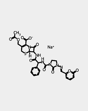 CC(=O)OCC1=C(C(=O)[O-])N2C(=O)C(NC(=O)C(NC(=O)N3CCN(N=Cc4cccc(=O)o4)C3=O)c3ccccc3)[C@@H]2SC1.[Na+]